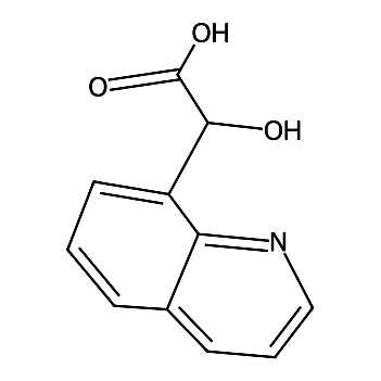 O=C(O)C(O)c1cccc2cccnc12